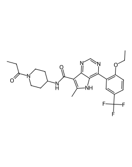 CCOc1ccc(C(F)(F)F)cc1-c1ncnc2c(C(=O)NC3CCN(C(=O)CC)CC3)c(C)[nH]c12